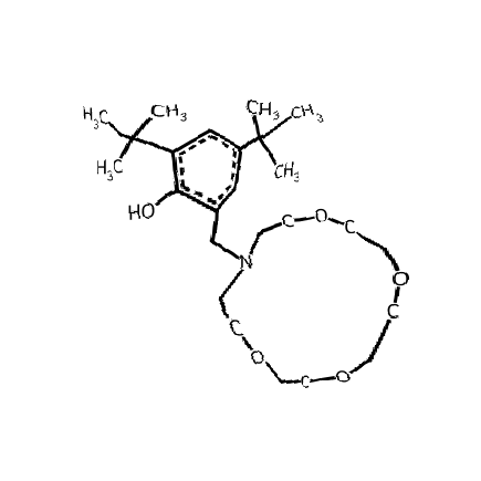 CC(C)(C)c1cc(CN2CCOCCOCCOCCOCC2)c(O)c(C(C)(C)C)c1